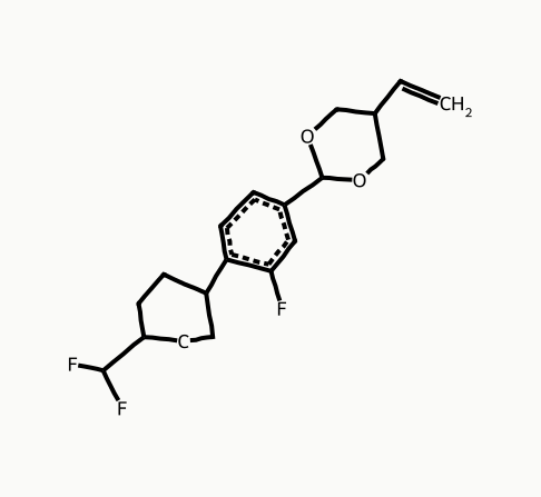 C=CC1COC(c2ccc(C3CCC(C(F)F)CC3)c(F)c2)OC1